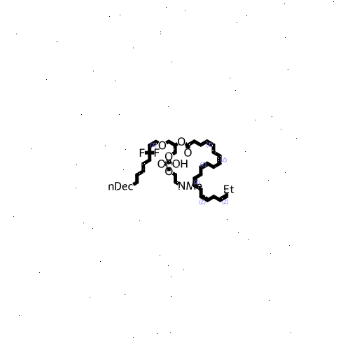 CC/C=C\C/C=C\C/C=C\C/C=C\C/C=C\C/C=C\CCC(=O)OC(CO/C=C\C(F)(F)CCCCCCCCCCCCCCC)COP(=O)(O)OCCNC